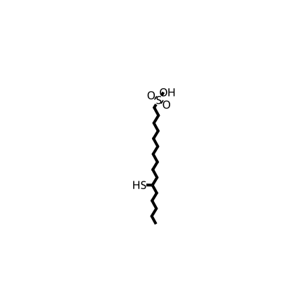 CCCCCC(S)CCCCCCCCCCS(=O)(=O)O